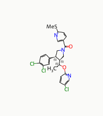 CSc1ccc(C(=O)N2C[C@@H]([C@H](C)Oc3ccc(Cl)cn3)[C@@H](c3ccc(Cl)c(Cl)c3)C2)cn1